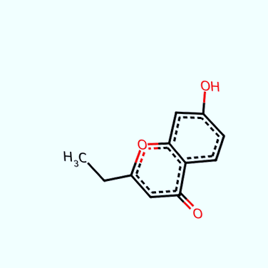 CCc1cc(=O)c2ccc(O)cc2o1